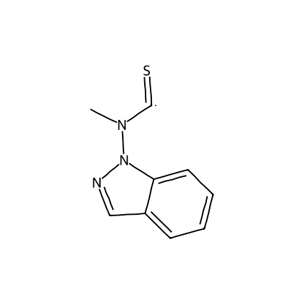 CN([C]=S)n1ncc2ccccc21